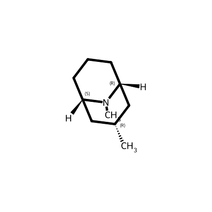 C[C@H]1C[C@H]2CCC[C@@H](C1)N2C